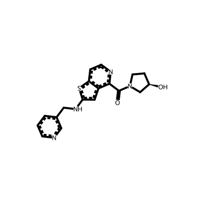 O=C(c1nccc2sc(NCc3cccnc3)cc12)N1CC[C@@H](O)C1